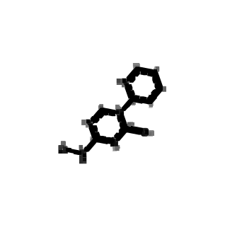 CCNc1ncn(-c2ccccn2)c(=O)n1